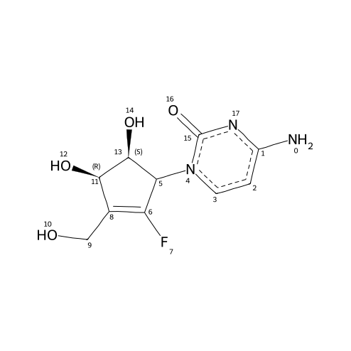 Nc1ccn(C2C(F)=C(CO)[C@@H](O)[C@H]2O)c(=O)n1